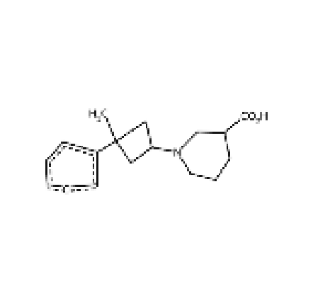 CC1(c2ccccc2)CC(N2CCCC(C(=O)O)C2)C1